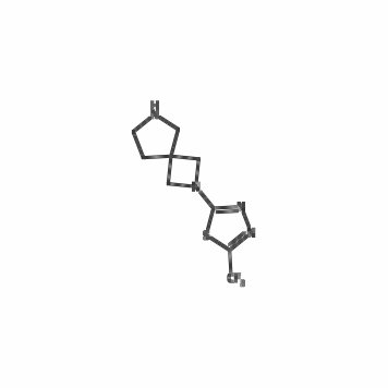 FC(F)(F)c1nnc(N2CC3(CCNC3)C2)s1